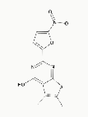 Cc1sc2nc(-c3ccc([N+](=O)[O-])o3)nc(O)c2c1C